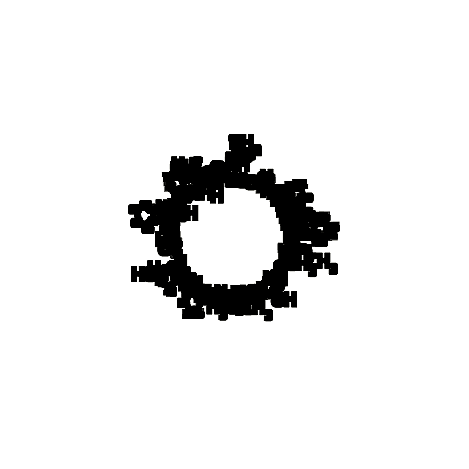 CCCC[C@H]1C(=O)N(C)CC(=O)N[C@@H](CC(=O)O)C(=O)N[C@@H](C(C)C)C(=O)N(C)[C@@H](Cc2ccccc2)C(=O)N[C@@H](Cc2ccc(O)cc2)C(=O)N(C)CC(=O)N[C@@H](Cc2c[nH]c3ccccc23)C(=O)N[C@@H](Cc2ccc(O)cc2)C(=O)N[C@@H](CC(C)C)C(=O)N[C@H](C(=O)NCC(N)=O)CSCC(=O)N[C@@H](Cc2ccccc2)C(=O)N(C)[C@@H](Cc2ccc3ccccc3c2)C(=O)N1C